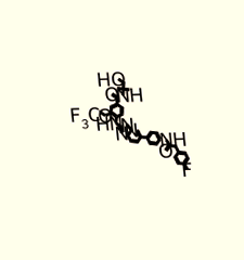 CC(C)(CO)NC(=O)c1ccc(Nc2nc3ccc(-c4ccc(NC(=O)Cc5ccc(F)cc5)cc4)cn3n2)c(OCC(F)(F)F)c1